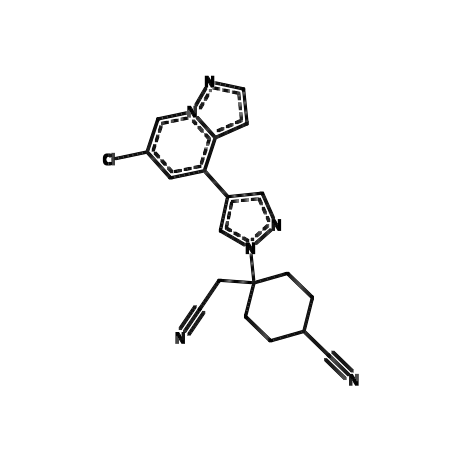 N#CCC1(n2cc(-c3cc(Cl)cn4nccc34)cn2)CCC(C#N)CC1